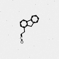 O=C=CCc1cccc2c1Cc1ccccc1-2